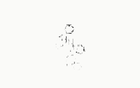 Fc1ccc(CNCCC2(c3ccccn3)CCOC3(CCCC3)C2)c(N2C3CCC2COC3)c1